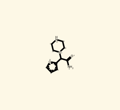 NC(=O)C(c1ccco1)N1CCNCC1